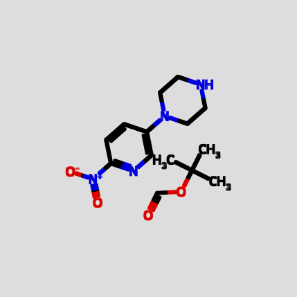 CC(C)(C)OC=O.O=[N+]([O-])c1ccc(N2CCNCC2)cn1